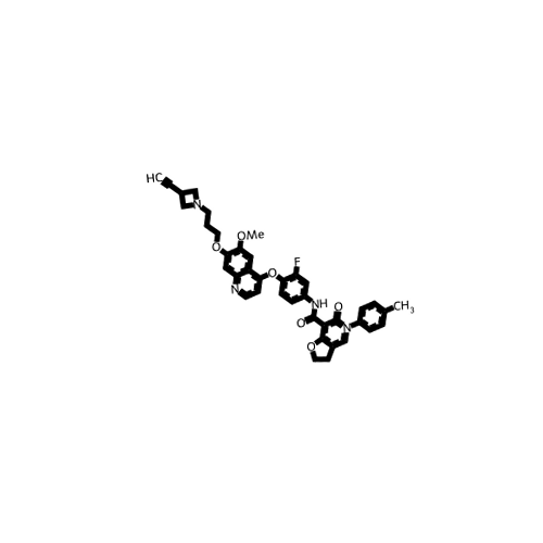 C#CC1CN(CCCOc2cc3nccc(Oc4ccc(NC(=O)c5c6c(cn(-c7ccc(C)cc7)c5=O)CCO6)cc4F)c3cc2OC)C1